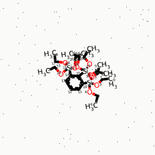 CCO[Si](OCC)(OCC)c1cccc([Si](OCC)(OCC)OCC)c1[Si](OCC)(OCC)OCC